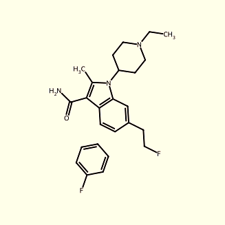 CCN1CCC(n2c(C)c(C(N)=O)c3ccc(CCF)cc32)CC1.Fc1ccccc1